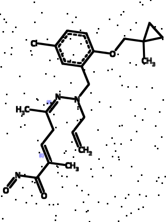 C=CCN(Cc1cc(Cl)ccc1OCC1(C)CC1)/N=C(/C)C/C=C(\C)C(=O)N=O